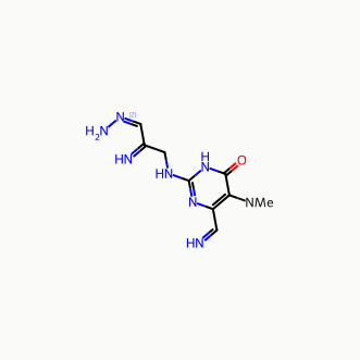 CNc1c(C=N)nc(NCC(=N)/C=N\N)[nH]c1=O